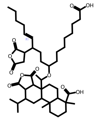 CCCC/C=C/C(CCC(CCCCCCCC(=O)O)OC(C)C12CCC3C(C)(C(=O)O)CCCC3(C)C1CC(C(C)C)C1C(=O)OC(=O)C12)C1CC(=O)OC1=O